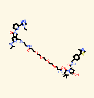 CCn1cnnc1-c1cccc(N2Cc3c(cc(N(C)C(C)C)nc3CNCCNC(=O)CCOCCOCCOCCOCCC(=O)N[C@H](C(=O)N3C[C@H](O)C[C@H]3C(=O)NCc3ccc(-c4scnc4C)cc3)C(C)(C)C)C2=O)n1